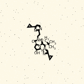 CC(C)(C)[C@@H](C(=O)N1C[C@H](O)C[C@H]1C(=O)NCCc1nccc(C2CC2)n1)n1cc(C2CC2)nn1